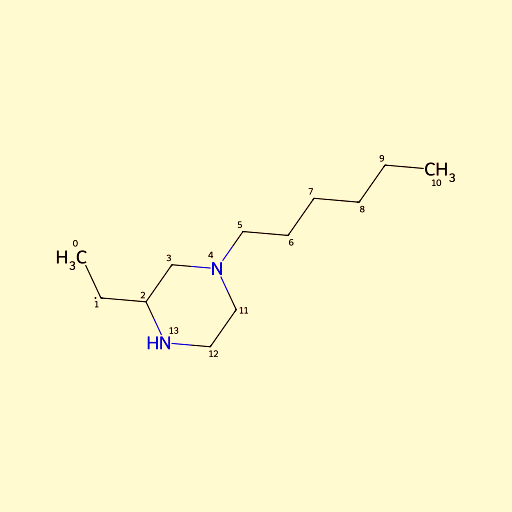 C[CH]C1CN(CCCCCC)CCN1